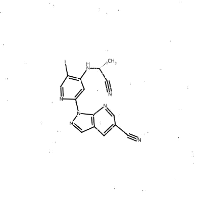 C[C@H](C#N)Nc1cc(-n2ncc3cc(C#N)cnc32)ncc1I